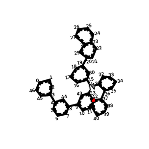 c1ccc(-c2cccc(-c3cccc(N(c4cccc(-c5ccc6ccccc6c5)c4)c4ccccc4-c4ccccc4)c3)c2)cc1